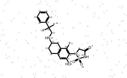 O=C1CN(c2c(O)cc3c(c2F)CC(NCC(F)(F)c2ccccc2)CC3)S(=O)(=O)N1